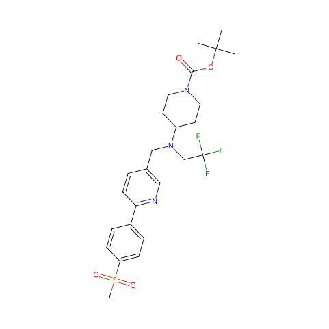 CC(C)(C)OC(=O)N1CCC(N(Cc2ccc(-c3ccc(S(C)(=O)=O)cc3)nc2)CC(F)(F)F)CC1